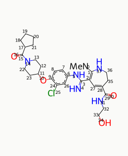 CNC1=C(C(=N)Nc2ccc(OC3CCN(C(=O)C4CCCC4)CC3)c(Cl)c2)C=C(C(=O)NCCO)CCN1